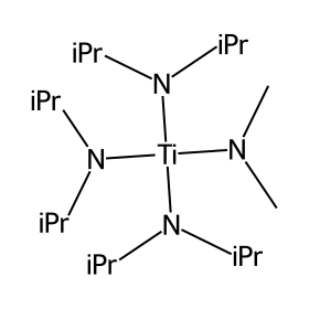 CC(C)[N](C(C)C)[Ti]([N](C)C)([N](C(C)C)C(C)C)[N](C(C)C)C(C)C